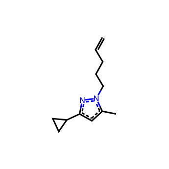 C=CCCCn1nc(C2CC2)cc1C